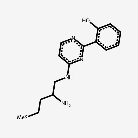 CSCCC(N)CNc1ccnc(-c2ccccc2O)n1